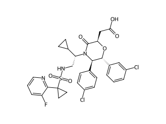 O=C(O)C[C@H]1O[C@H](c2cccc(Cl)c2)[C@@H](c2ccc(Cl)cc2)N([C@H](CNS(=O)(=O)C2(c3ncccc3F)CC2)C2CC2)C1=O